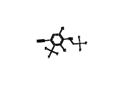 N#Cc1cc(Cl)c(NCC(F)(F)F)c(Cl)c1C(F)(F)F